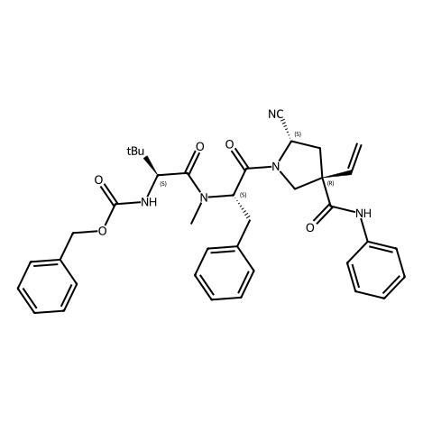 C=C[C@]1(C(=O)Nc2ccccc2)C[C@@H](C#N)N(C(=O)[C@H](Cc2ccccc2)N(C)C(=O)[C@@H](NC(=O)OCc2ccccc2)C(C)(C)C)C1